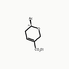 CCOC(=O)C1=CC[C@@H](C(C)=O)OC1